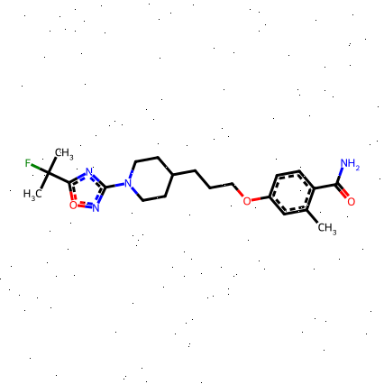 Cc1cc(OCCCC2CCN(c3noc(C(C)(C)F)n3)CC2)ccc1C(N)=O